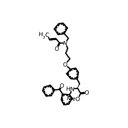 C/C=C/C(=O)N(CCCOc1ccc(C[C@H](Nc2ccccc2C(=O)c2ccccc2)C(=O)OC)cc1)Cc1ccccc1